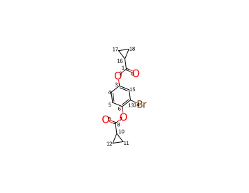 O=C(Oc1ccc(OC(=O)C2CC2)c(Br)c1)C1CC1